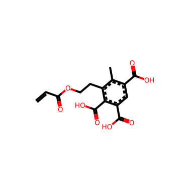 C=CC(=O)OCCc1c(C)c(C(=O)O)cc(C(=O)O)c1C(=O)O